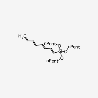 C=CC=CC=CC=C[Si](OCCCCC)(OCCCCC)OCCCCC